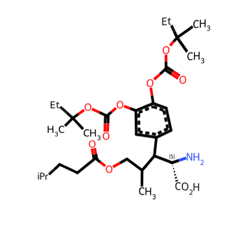 CCC(C)(C)OC(=O)Oc1ccc(C(C(C)COC(=O)CCC(C)C)[C@H](N)C(=O)O)cc1OC(=O)OC(C)(C)CC